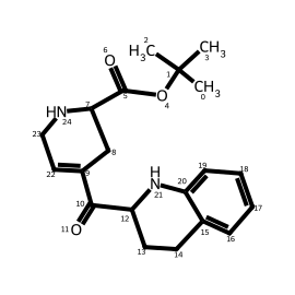 CC(C)(C)OC(=O)C1CC(C(=O)C2CCc3ccccc3N2)=CCN1